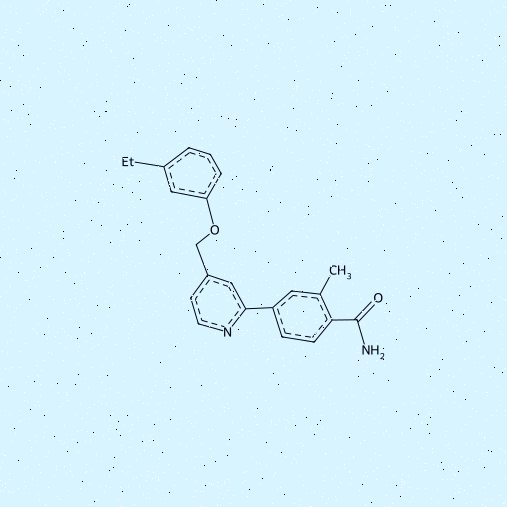 CCc1cccc(OCc2ccnc(-c3ccc(C(N)=O)c(C)c3)c2)c1